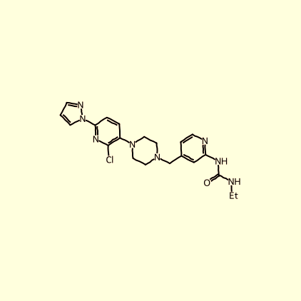 CCNC(=O)Nc1cc(CN2CCN(c3ccc(-n4cccn4)nc3Cl)CC2)ccn1